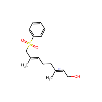 CC(=CCC/C(C)=C/CO)CS(=O)(=O)c1ccccc1